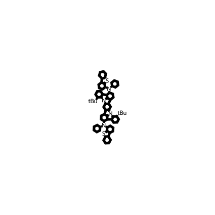 CC(C)(C)c1cccc2c3c(N(c4ccccc4)c4cccc5c4sc4ccccc45)ccc4c5cc6c(cc5n(c12)c43)c1ccc(N(c2ccccc2)c2cccc3c2sc2ccccc23)c2c3cccc(C(C)(C)C)c3n6c12